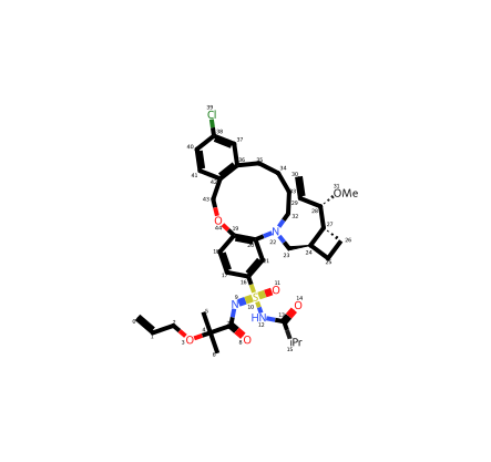 C=CCOC(C)(C)C(=O)N=S(=O)(NC(=O)C(C)C)c1ccc2c(c1)N(C[C@@H]1CC[C@H]1[C@H](C=C)OC)CCCCc1cc(Cl)ccc1CO2